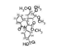 COC(=O)c1c(-c2cc(OC)c(OC)c(OC)c2)c2ccccc2c(=O)n1-c1ccc(C(=O)O)cc1